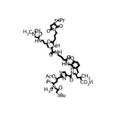 CC[C@H](C)CC(=O)N(C)C(C[C@@H](OC(C)=O)c1nc(C(=O)N[C@@H](Cc2ccc(O)c(NC(=O)CCCNC(=O)[C@H](CCCCNC(=O)CN(C)C)NC(=O)CCCN3C(=O)CC(SC(C)C)C3=O)c2)CC(C)C(=O)O)cs1)C(C)C